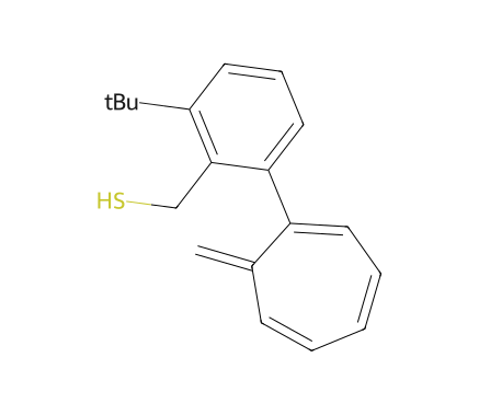 C=C1C=CC=CC=C1c1cccc(C(C)(C)C)c1CS